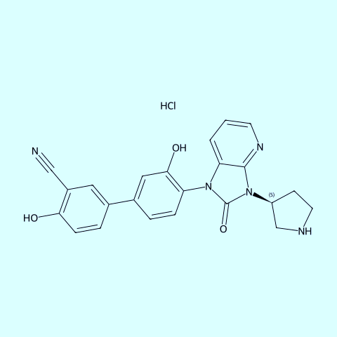 Cl.N#Cc1cc(-c2ccc(-n3c(=O)n([C@H]4CCNC4)c4ncccc43)c(O)c2)ccc1O